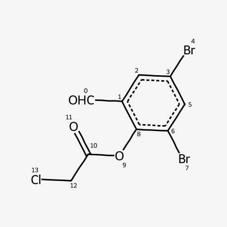 O=Cc1cc(Br)cc(Br)c1OC(=O)CCl